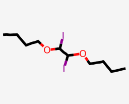 CCCCOC(I)C(I)OCCCC